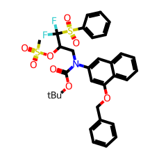 CC(C)(C)OC(=O)N(CC(OS(C)(=O)=O)C(F)(F)S(=O)(=O)c1ccccc1)c1cc(OCc2ccccc2)c2ccccc2c1